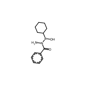 NN(B(O)C1CCCCC1)C(=O)c1ccccc1